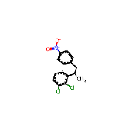 C[C@H](Cc1ccc([N+](=O)[O-])cc1)c1[c]ccc(Cl)c1Cl